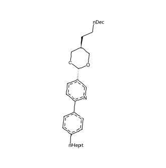 CCCCCCCCCCCC[C@H]1CO[C@H](c2ccc(-c3ccc(CCCCCCC)cc3)nc2)OC1